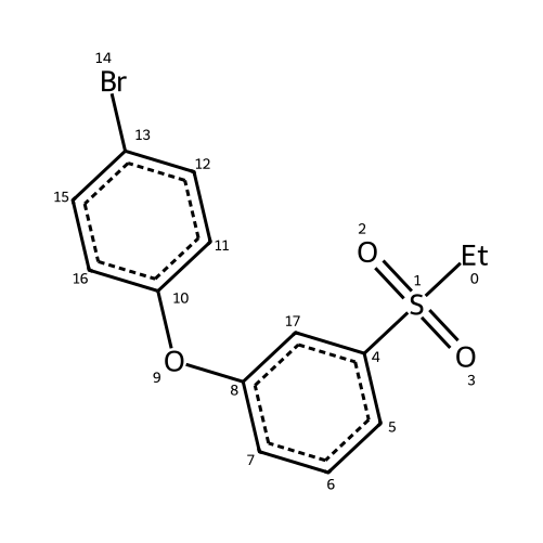 CCS(=O)(=O)c1cccc(Oc2ccc(Br)cc2)c1